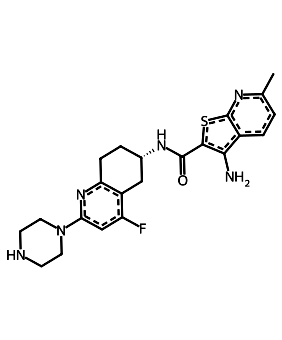 Cc1ccc2c(N)c(C(=O)N[C@H]3CCc4nc(N5CCNCC5)cc(F)c4C3)sc2n1